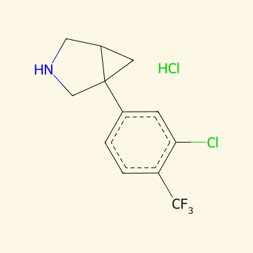 Cl.FC(F)(F)c1ccc(C23CNCC2C3)cc1Cl